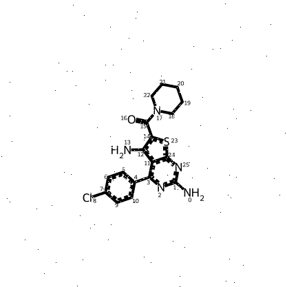 Nc1nc(-c2ccc(Cl)cc2)c2c(N)c(C(=O)N3CCCCC3)sc2n1